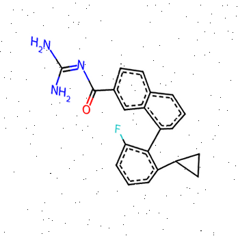 NC(N)=NC(=O)c1ccc2cccc(-c3c(F)cccc3C3CC3)c2c1